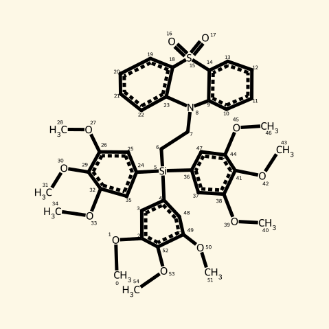 COc1cc([Si](CCN2c3ccccc3S(=O)(=O)c3ccccc32)(c2cc(OC)c(OC)c(OC)c2)c2cc(OC)c(OC)c(OC)c2)cc(OC)c1OC